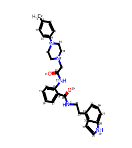 Cc1ccc(N2CCN(CC(=O)Nc3ccccc3C(=O)NCCc3cccc4[nH]ccc34)CC2)cc1